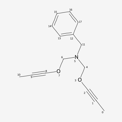 CC#COCN(COC#CC)Cc1ccccc1